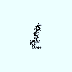 COC(=O)CN1C(=O)S/C(=C\c2ccc(-c3ccc(C(C)=O)cc3)o2)C1=O